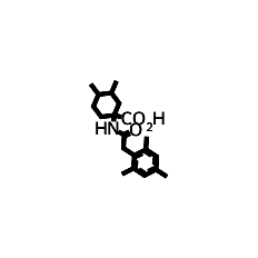 Cc1cc(C)c(CC(=O)NC2(C(=O)O)CCC(C)C(C)C2)c(C)c1